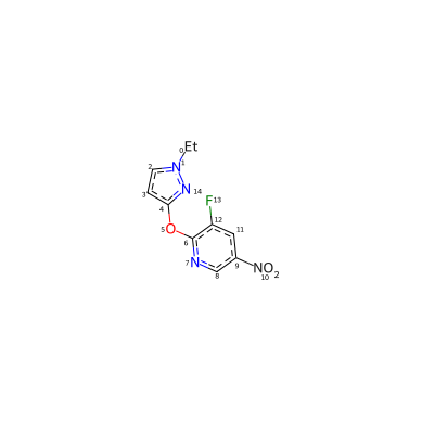 CCn1ccc(Oc2ncc([N+](=O)[O-])cc2F)n1